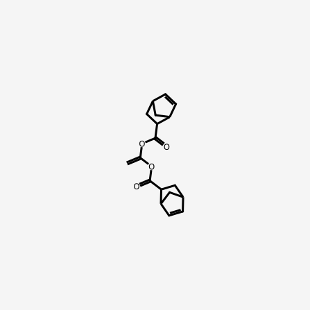 C=C(OC(=O)C1CC2C=CC1C2)OC(=O)C1CC2C=CC1C2